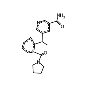 [CH2]C(c1cncc(C(N)=O)c1)c1ccccc1C(=O)N1CCCC1